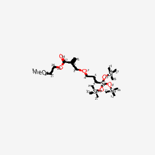 C=C(COCCC[Si](O[Si](C)(C)C)(O[Si](C)(C)C)O[Si](C)(C)C)C(=O)OCCOC